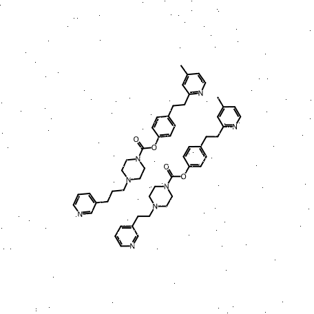 Cc1ccnc(CCc2ccc(OC(=O)N3CCN(CCCc4cccnc4)CC3)cc2)c1.Cc1ccnc(CCc2ccc(OC(=O)N3CCN(CCc4cccnc4)CC3)cc2)c1